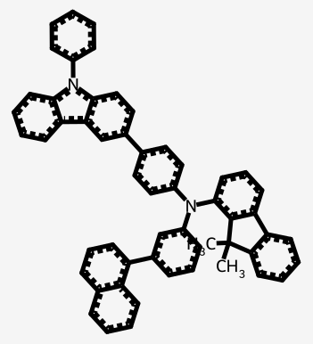 CC1(C)c2ccccc2-c2cccc(N(c3ccc(-c4ccc5c(c4)c4ccccc4n5-c4ccccc4)cc3)c3cccc(-c4cccc5ccccc45)c3)c21